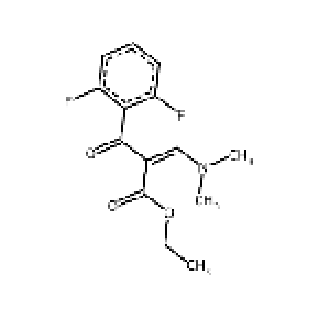 CCOC(=O)C(=CN(C)C)C(=O)c1c(F)cccc1F